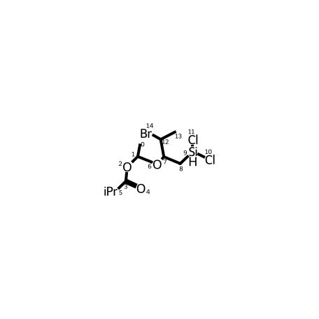 CC(OC(=O)C(C)C)OC(C[SiH](Cl)Cl)C(C)Br